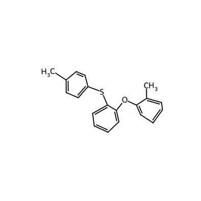 Cc1ccc(Sc2ccccc2Oc2ccccc2C)cc1